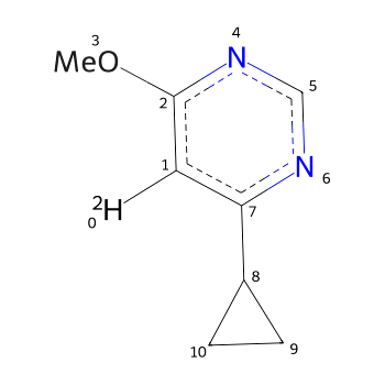 [2H]c1c(OC)ncnc1C1CC1